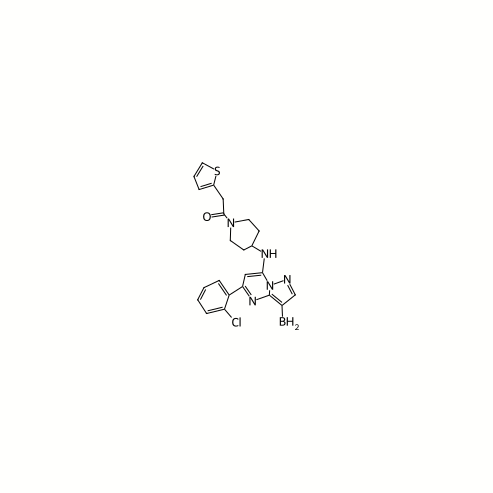 Bc1cnn2c(NC3CCN(C(=O)Cc4cccs4)CC3)cc(-c3ccccc3Cl)nc12